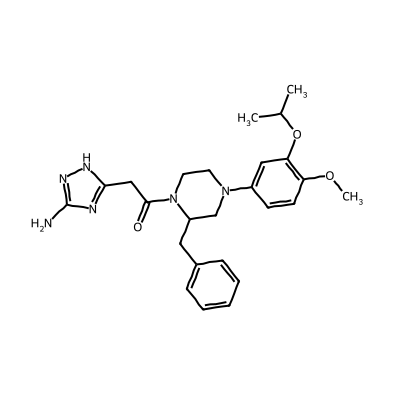 COc1ccc(N2CCN(C(=O)Cc3nc(N)n[nH]3)C(Cc3ccccc3)C2)cc1OC(C)C